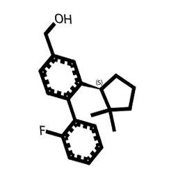 CC1(C)CCC[C@@H]1c1cc(CO)ccc1-c1ccccc1F